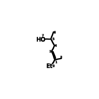 CCC(C)=CCC(C)O